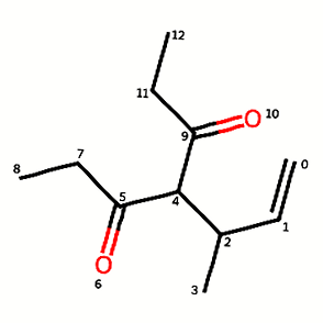 C=CC(C)C(C(=O)CC)C(=O)CC